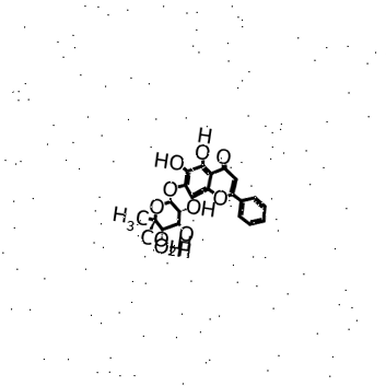 C[C@]1(C(=O)O)O[C@H](Oc2cc3oc(-c4ccccc4)cc(=O)c3c(O)c2O)[C@H](O)[C@@H](O)[C@@H]1O